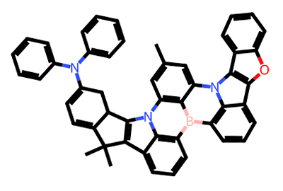 Cc1cc2c3c(c1)-n1c4c(cccc4c4oc5ccccc5c41)B3c1cccc3c4c(n-2c13)C1CC(N(c2ccccc2)c2ccccc2)=CC=C1C4(C)C